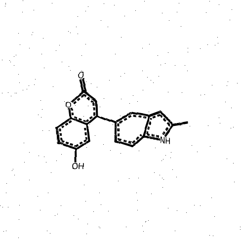 Cc1cc2cc(-c3cc(=O)oc4ccc(O)cc34)ccc2[nH]1